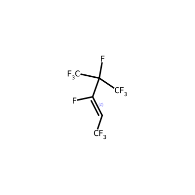 F/C(=C\C(F)(F)F)C(F)(C(F)(F)F)C(F)(F)F